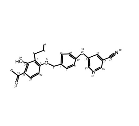 CCCc1c(OCc2ccc(Sc3cncc(C#N)c3)cc2)ccc(C(C)=O)c1O